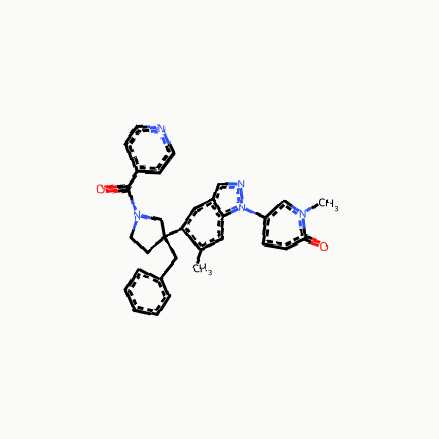 Cc1cc2c(cnn2-c2ccc(=O)n(C)c2)cc1C1(Cc2ccccc2)CCN(C(=O)c2ccncc2)C1